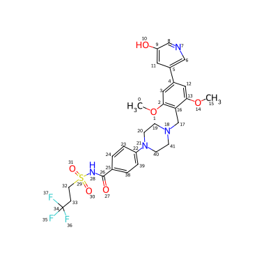 COc1cc(-c2cncc(O)c2)cc(OC)c1CN1CCN(c2ccc(C(=O)NS(=O)(=O)CCC(F)(F)F)cc2)CC1